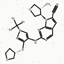 [2H]C([2H])([2H])n1cc(Nc2ncc3cc(C#N)n([C@H]4COC[C@@H]4C)c3n2)c(O[C@H]2CCOC2)n1